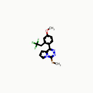 COc1ccc(-c2nnc(SC)n3cccc23)c(CC(F)(F)F)c1